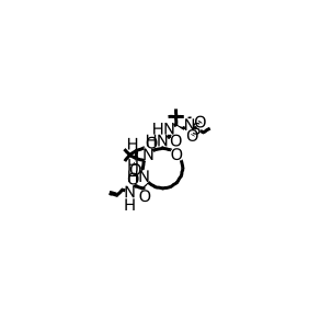 C=CCNC(=O)C(=O)[C@@H]1CCCCCCCOC[C@H](NC(=O)N[C@H](CN(C)S(=O)(=O)CC)C(C)(C)C)C(=O)N2C[C@H]3[C@@H](C2C(=O)N1)C3(C)C